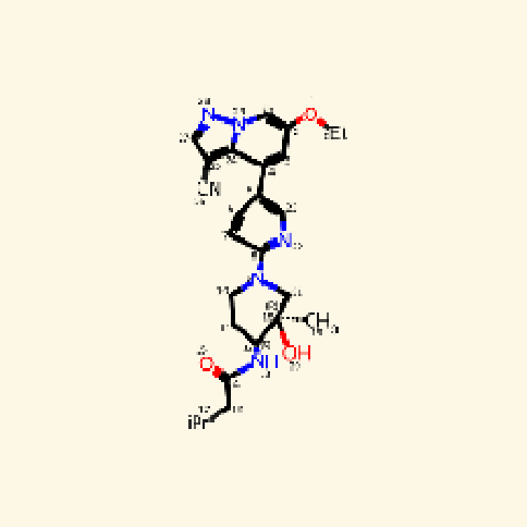 CCOc1cc(-c2ccc(N3CC[C@H](NC(=O)CC(C)C)[C@](C)(O)C3)nc2)c2c(C#N)cnn2c1